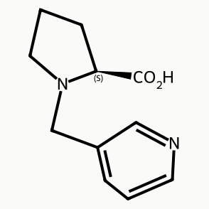 O=C(O)[C@@H]1CCCN1Cc1cccnc1